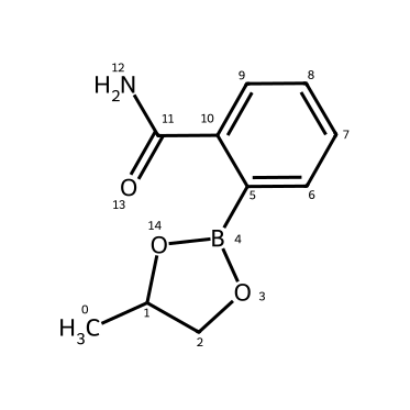 CC1COB(c2ccccc2C(N)=O)O1